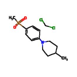 CC1CCN(c2ccc(S(C)(=O)=O)cc2)CC1.ClCCl